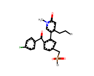 CCS(=O)(=O)Cc1ccc(C(=O)c2ccc(F)cc2)c(-c2cn(C)c(=O)cc2CC[C](C)C)c1